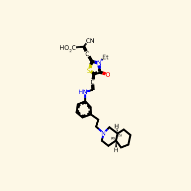 CCn1c(=C=C(C#N)C(=O)O)sc(=C=CNc2cccc(CCN3CC[C@H]4CCCC[C@@H]4C3)c2)c1=O